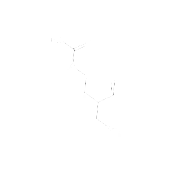 CCC([C]=O)CCOC(C)=O